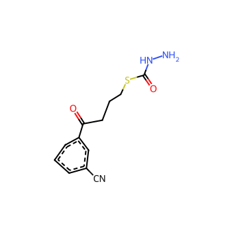 N#Cc1cccc(C(=O)CCCSC(=O)NN)c1